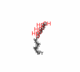 CC(=CCCOCC(O)COCC(O)COCC(O)CO)CCCC(C)CCCC(C)CCCC(C)C